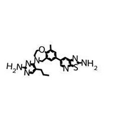 CCCc1cnc(N)nc1N1CCOc2c(C)cc(-c3cnc4sc(N)nc4c3)cc2C1